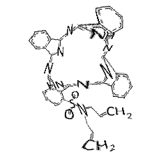 C=CCN(CC=C)S(=O)(=O)c1cccc2c3nc4nc(nc5[nH]c(nc6nc(nc([nH]3)c12)-c1ccccc1-6)c1ccccc51)-c1ccccc1-4